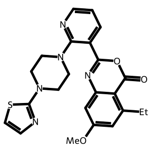 CCc1cc(OC)cc2nc(-c3cccnc3N3CCN(c4nccs4)CC3)oc(=O)c12